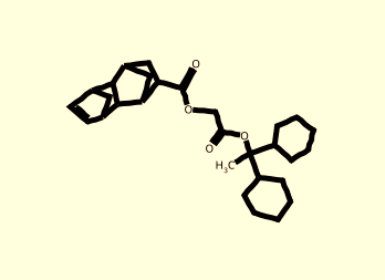 CC(OC(=O)COC(=O)C1CC2CC1C1C3C=CC(C3)C21)(C1CCCCC1)C1CCCCC1